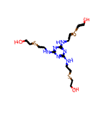 OCCSCCNc1nc(NCCSCCO)nc(NCCSCCO)n1